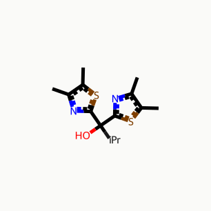 Cc1nc(C(O)(c2nc(C)c(C)s2)C(C)C)sc1C